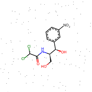 O=C(N[C@H](CO)[C@H](O)c1cccc([N+](=O)[O-])c1)C(Cl)Cl